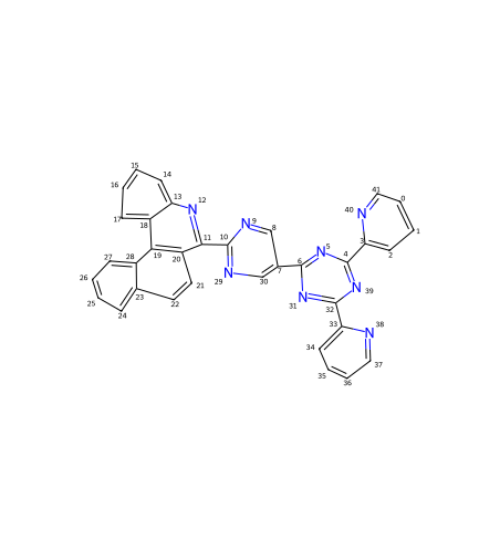 c1ccc(-c2nc(-c3cnc(-c4nc5ccccc5c5c4ccc4ccccc45)nc3)nc(-c3ccccn3)n2)nc1